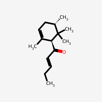 CCC=CC(=O)[C@H]1C(C)=CC[C@H](C)C1(C)C